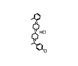 Cc1ccccc1N1CCN(C2CCN(C(C)c3ccc(Cl)cc3)CC2)CC1.Cl